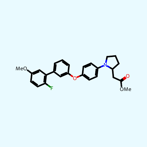 COC(=O)CC1CCCN1c1ccc(Oc2cccc(-c3cc(OC)ccc3F)c2)cc1